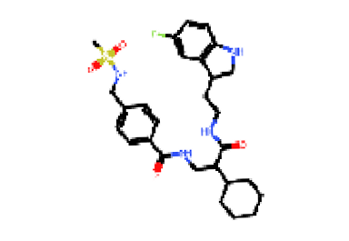 CS(=O)(=O)NCc1ccc(C(=O)NCC(C(=O)NCCC2CNc3ccc(F)cc32)C2CCCCC2)cc1